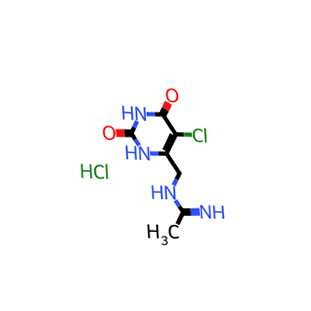 CC(=N)NCc1[nH]c(=O)[nH]c(=O)c1Cl.Cl